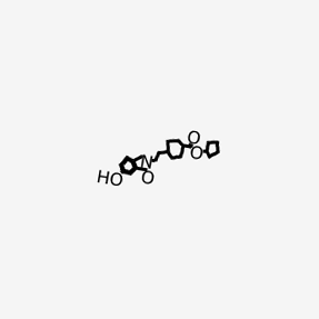 O=C(OC1CCCC1)C1CCC(CCN2Cc3ccc(O)cc3C2=O)CC1